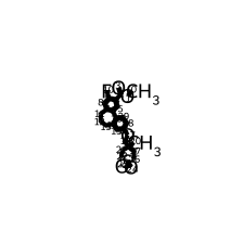 COC(=O)c1cc2c(cc1F)CCCc1cc(OCC3(C)CCS(=O)(=O)CC3)ccc1-2